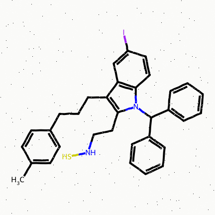 Cc1ccc(CCCc2c(CCNS)n(C(c3ccccc3)c3ccccc3)c3ccc(I)cc23)cc1